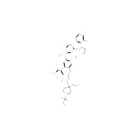 CCCC1(CCCCc2cc(OC)c(Nc3cc(N4OCC[C@@H]4c4cccc(F)c4F)ncn3)cc2/C(=C/NC)C(=N)F)CCN(C(C)(C)CF)CC1